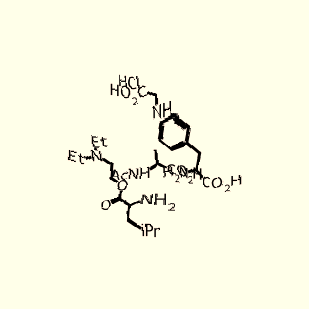 CC(=O)NC(C)C(=O)O.CCN(CC)CCOC(=O)C(N)CC(C)C.Cl.NC(Cc1ccccc1)C(=O)O.NCC(=O)O